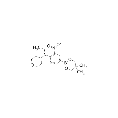 CCN(c1ncc(B2OCC(C)(C)CO2)cc1[N+](=O)[O-])C1CCOCC1